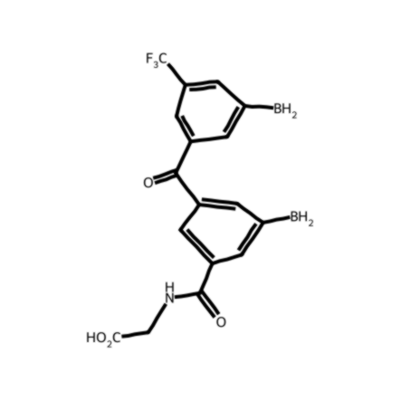 Bc1cc(C(=O)NCC(=O)O)cc(C(=O)c2cc(B)cc(C(F)(F)F)c2)c1